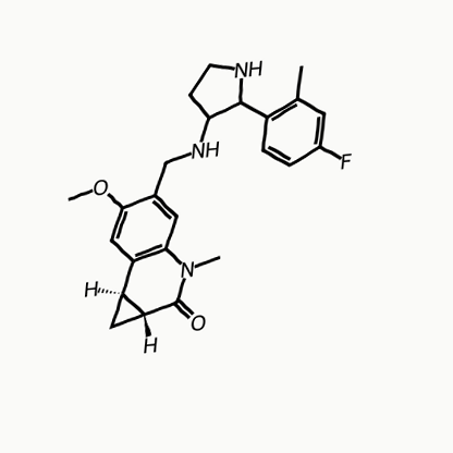 COc1cc2c(cc1CNC1CCNC1c1ccc(F)cc1C)N(C)C(=O)[C@@H]1C[C@@H]21